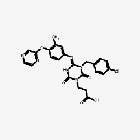 Cc1cc(/N=c2\[nH]c(=O)n(CCC(=O)O)c(=O)n2Cc2ccc(Cl)cc2)ccc1Oc1cnccn1